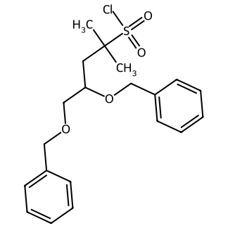 CC(C)(CC(COCc1ccccc1)OCc1ccccc1)S(=O)(=O)Cl